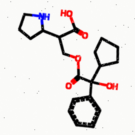 O=C(O)C(COC(=O)C(O)(c1ccccc1)C1CCCC1)C1CCCN1